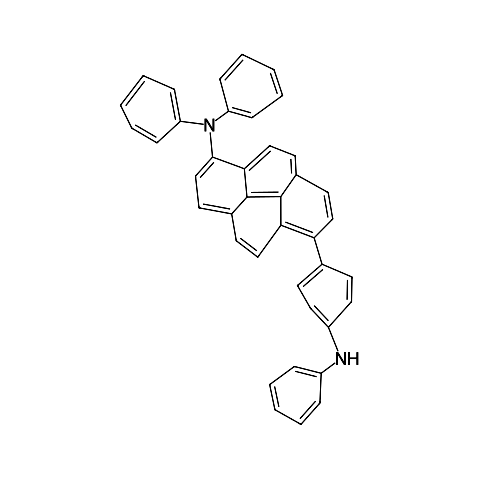 c1ccc(Nc2ccc(-c3ccc4ccc5c(N(c6ccccc6)c6ccccc6)ccc6ccc3c4c65)cc2)cc1